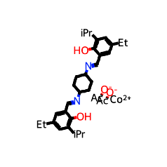 CC(=O)[O-].CC(=O)[O-].CCc1cc(C=NC2CCC(N=Cc3cc(CC)cc(C(C)C)c3O)CC2)c(O)c(C(C)C)c1.[Co+2]